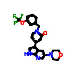 O=c1cc(-c2c[nH]c3ncc(N4CCOCC4)cc23)ccn1Cc1cccc(OC(F)(F)F)c1